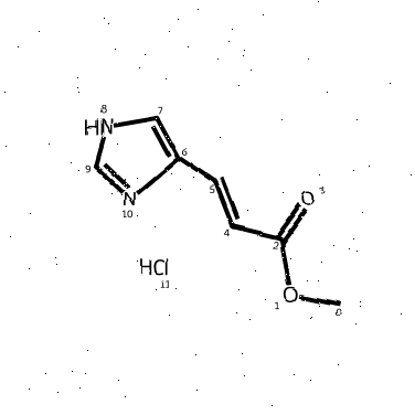 COC(=O)/C=C/c1c[nH]cn1.Cl